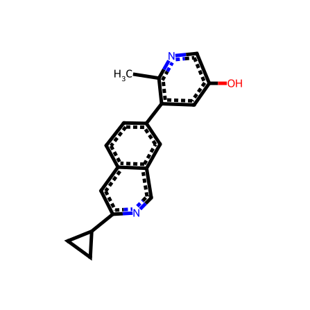 Cc1ncc(O)cc1-c1ccc2cc(C3CC3)ncc2c1